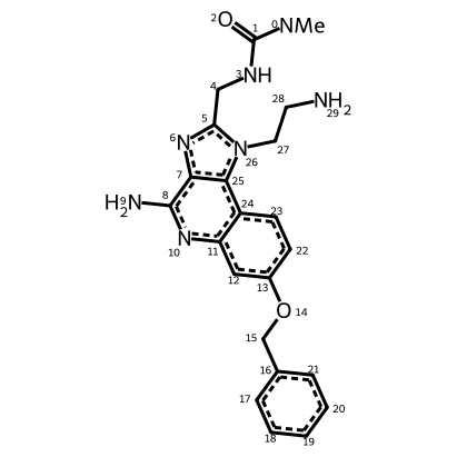 CNC(=O)NCc1nc2c(N)nc3cc(OCc4ccccc4)ccc3c2n1CCN